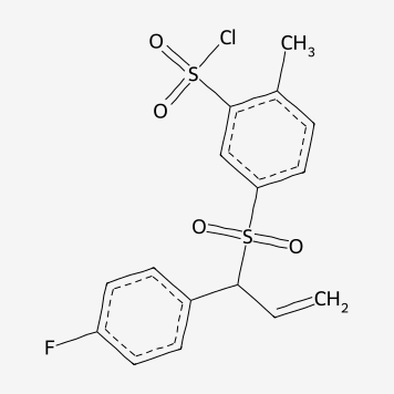 C=CC(c1ccc(F)cc1)S(=O)(=O)c1ccc(C)c(S(=O)(=O)Cl)c1